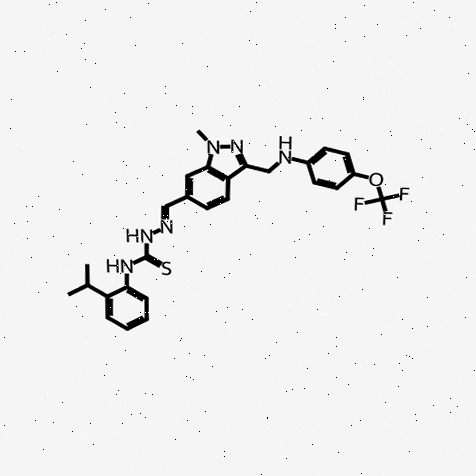 CC(C)c1ccccc1NC(=S)N/N=C/c1ccc2c(CNc3ccc(OC(F)(F)F)cc3)nn(C)c2c1